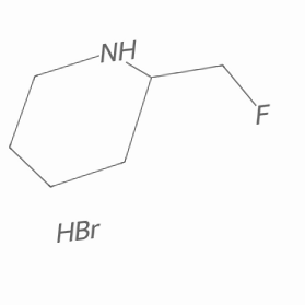 Br.FCC1CCCCN1